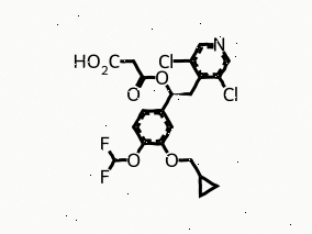 O=C(O)CC(=O)O[C@@H](Cc1c(Cl)cncc1Cl)c1ccc(OC(F)F)c(OCC2CC2)c1